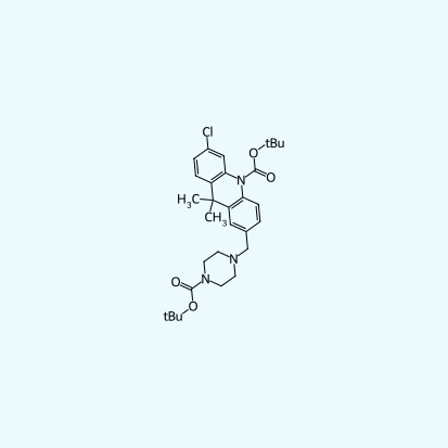 CC(C)(C)OC(=O)N1CCN(Cc2ccc3c(c2)C(C)(C)c2ccc(Cl)cc2N3C(=O)OC(C)(C)C)CC1